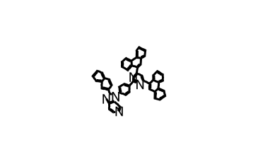 c1ccc2cc(-c3nc4ccncc4n3-c3ccc(-c4nc(-c5cc6ccccc6c6ccccc56)cc(-c5cc6ccccc6c6ccccc56)n4)cc3)ccc2c1